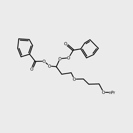 [CH2]CCOCCCOCC[C](OOC(=O)c1ccccc1)OOC(=O)c1ccccc1